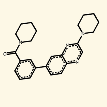 O=C(c1cccc(-c2ccc3ncc(N4CCCCC4)nc3c2)c1)N1CCCCC1